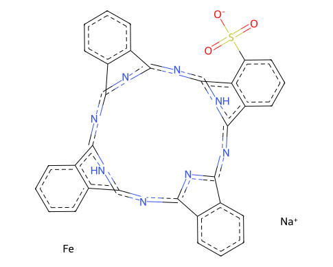 O=S(=O)([O-])c1cccc2c3nc4nc(nc5[nH]c(nc6nc(nc([nH]3)c12)-c1ccccc1-6)c1ccccc51)-c1ccccc1-4.[Fe].[Na+]